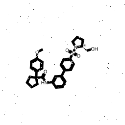 COc1ccc(C2(C(=O)Nc3cccc(-c4ccc(S(=O)(=O)N5CCC[C@@H]5CO)cc4)c3)CCCC2)cc1